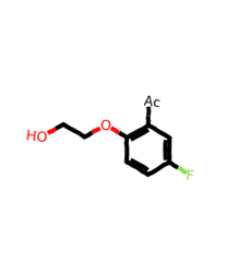 CC(=O)c1cc(F)ccc1OCCO